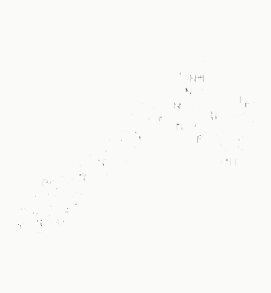 CCc1c(F)ccc2cc(O)cc(-c3ncc4c(N5CC6CCC(C5)N6)nc(OCC5(CN6CC7(CC(N8CCN(c9cc(F)c(C%10CCC(=O)NC%10=O)c(F)c9)CC8)C7)C6)CC5)nc4c3F)c12